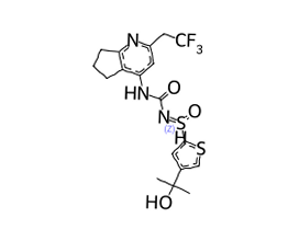 CC(C)(O)c1csc(/[SH](=O)=N/C(=O)Nc2cc(CC(F)(F)F)nc3c2CCC3)c1